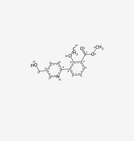 COC(=O)c1cccc(-c2ccc(CO)cn2)c1OC